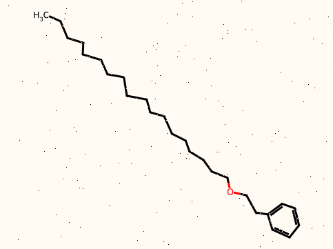 CCCCCCCCCCCCCCCCCCOC[CH]c1ccccc1